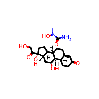 C[C@]12CCC(=O)C=C1CC[C@@H]1[C@@H]2[C@@H](O)C[C@@]2(C)[C@H]1CC[C@]2(O)C(=O)CO.NC(=O)NO